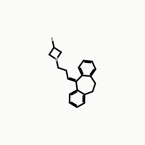 FC1CN(CCC=C2c3ccccc3CCc3ccccc32)C1